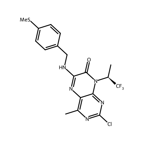 CSc1ccc(CNc2nc3c(C)nc(Cl)nc3n([C@@H](C)C(F)(F)F)c2=O)cc1